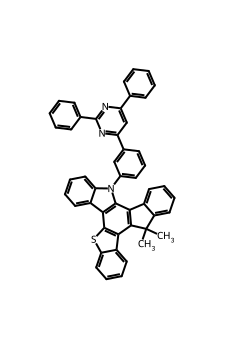 CC1(C)c2ccccc2-c2c1c1c3ccccc3sc1c1c3ccccc3n(-c3cccc(-c4cc(-c5ccccc5)nc(-c5ccccc5)n4)c3)c21